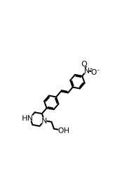 O=[N+]([O-])c1ccc(C=Cc2ccc(C3CNCCN3CCO)cc2)cc1